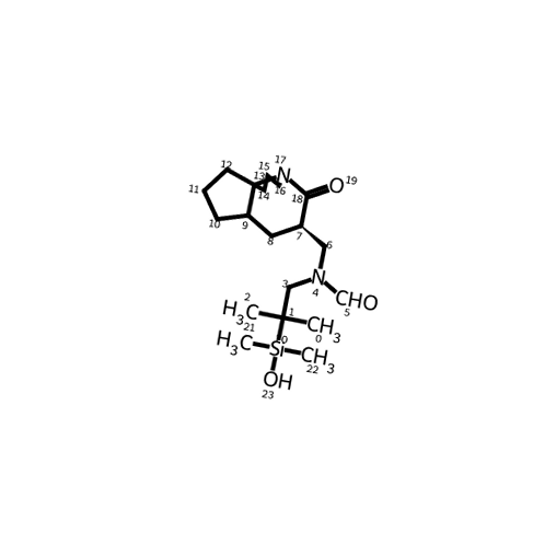 CC(C)(CN(C=O)C[C@H]1CC2CCCC23CCCN3C1=O)[Si](C)(C)O